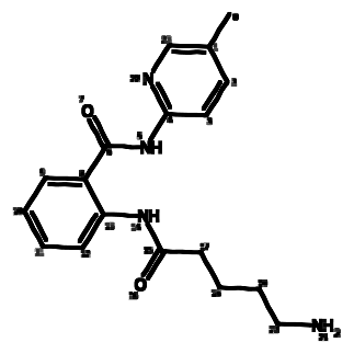 Cc1ccc(NC(=O)c2ccccc2NC(=O)CCCCN)nc1